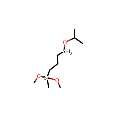 CO[Si](C)(CCC[SiH2]OC(C)C)OC